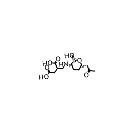 CC(=O)C[C@@H]1CC[C@H](NCC(CC(=O)O)C(=O)O)B(O)O1